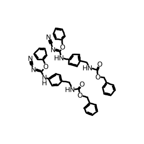 N#CN=C(Nc1ccc(CNC(=O)OCc2ccccc2)cc1)Oc1ccccc1.N#CN=C(Nc1ccc(CNC(=O)OCc2ccccc2)cc1)Oc1ccccc1